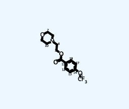 O=C(OCCN1CCOCC1)c1ccc(OC(F)(F)F)cc1